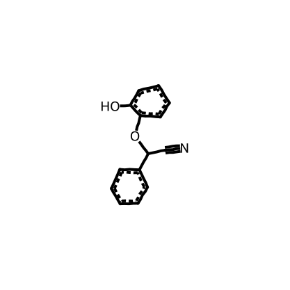 N#CC(Oc1ccccc1O)c1ccccc1